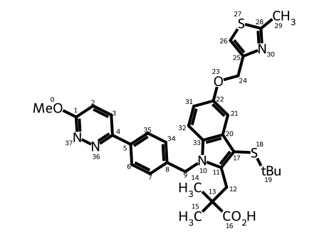 COc1ccc(-c2ccc(Cn3c(CC(C)(C)C(=O)O)c(SC(C)(C)C)c4cc(OCc5csc(C)n5)ccc43)cc2)nn1